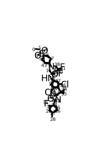 CCS(=O)(=O)c1ccc(N(CC(=O)Nc2cc(Cl)c(C3(c4noc(-c5ccc(C)cc5F)n4)CC3)c(Cl)c2)CC(F)(F)F)cc1